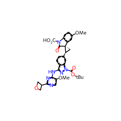 COc1ccc2c(c1)[C@]1(C[C@H]1c1ccc3c(Nc4nc(C5COC5)ncc4OC)nn(C(=O)OC(C)(C)C)c3c1)C(=O)N2C(=O)O